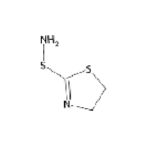 NSC1=NCCS1